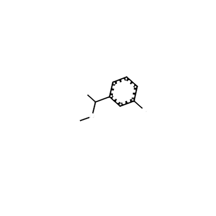 CCNC(c1cccc(Br)c1)C(F)(F)F